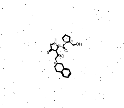 O=C(C[C@@H]1CCc2ccccc2C1)C1C(=S)CN[C@@H]1C(=O)N1CCC[C@H]1CO